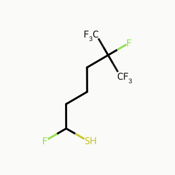 FC(S)CCCC(F)(C(F)(F)F)C(F)(F)F